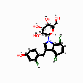 OC[C@H]1O[C@@H](n2cc(Cc3ccc(O)cc3F)c3c(Cl)ccc(Cl)c32)[C@H](O)[C@@H](O)[C@@H]1O